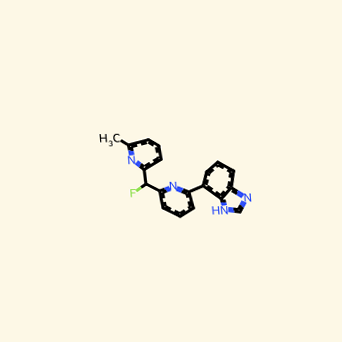 Cc1cccc(C(F)c2cccc(-c3cccc4nc[nH]c34)n2)n1